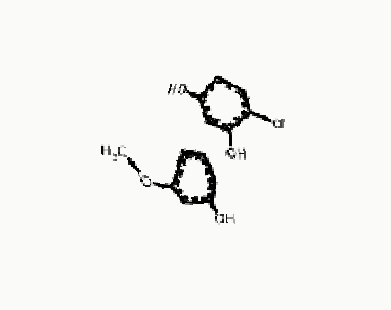 COc1cccc(O)c1.Oc1ccc(Cl)c(O)c1